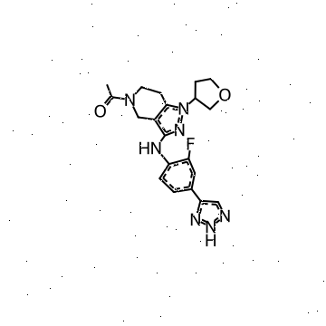 CC(=O)N1CCc2c(c(Nc3ccc(-c4cn[nH]n4)cc3F)nn2C2CCOC2)C1